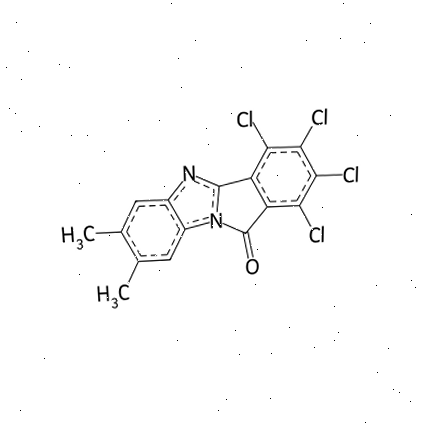 Cc1cc2nc3n(c2cc1C)C(=O)c1c(Cl)c(Cl)c(Cl)c(Cl)c1-3